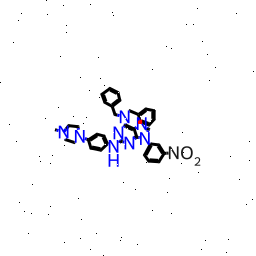 CN1CCN(c2ccc(Nc3nc(N(Cc4ccccc4)Cc4ccccc4)c4ncn(-c5cccc([N+](=O)[O-])c5)c4n3)cc2)CC1